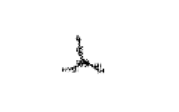 O=C(CCCCC(S)CCS)Oc1cc(/C=C/c2ccc(OC(=O)CCCCC3CCSS3)cc2)cc(OC(=O)CCCCC(S)CCS)c1